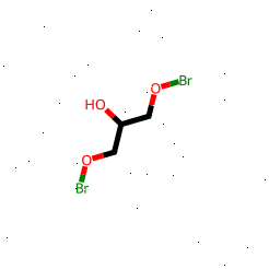 OC(COBr)COBr